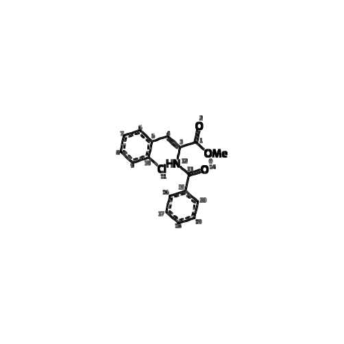 COC(=O)C(=Cc1ccccc1Cl)NC(=O)c1ccccc1